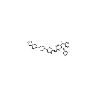 CC(=O)c1c(C)c2cnc(Nc3ccc(N4CCC(c5ccc(CO)cc5)CC4)cn3)nc2n(C2CCCC2)c1=O